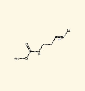 CC(=O)/C=C/CCNC(=O)OC(C)(C)C